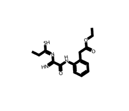 CCOC(=O)Cc1ccccc1NC(=O)C(=N)/N=C(/S)CC